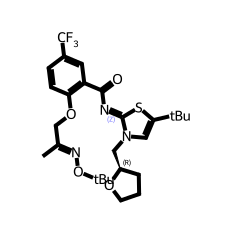 CC(COc1ccc(C(F)(F)F)cc1C(=O)/N=c1\sc(C(C)(C)C)cn1C[C@H]1CCCO1)=NOC(C)(C)C